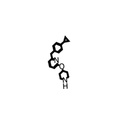 c1cc(Cc2ccc(C3CC3)cc2)nc(OC2CCNCC2)c1